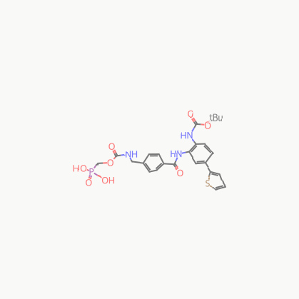 CC(C)(C)OC(=O)Nc1ccc(-c2cccs2)cc1NC(=O)c1ccc(CNC(=O)OCP(=O)(O)O)cc1